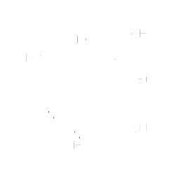 CCC(C)(C)c1c(C)n[nH]c1C